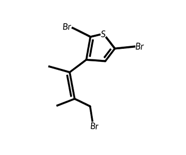 CC(CBr)=C(C)c1cc(Br)sc1Br